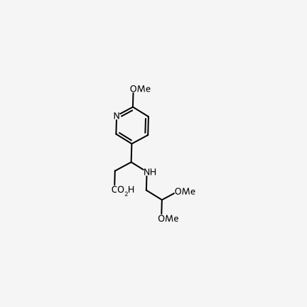 COc1ccc(C(CC(=O)O)NCC(OC)OC)cn1